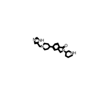 O=C1c2ccc(C3CCN(Cc4cnc[nH]4)CC3)cc2CN1C1CCCNC1